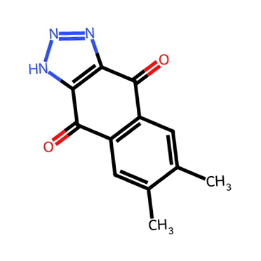 Cc1cc2c(cc1C)C(=O)c1[nH]nnc1C2=O